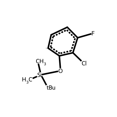 CC(C)(C)[Si](C)(C)Oc1[c]ccc(F)c1Cl